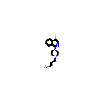 CC(=O)C=CC(=O)N1CCN(c2ncc(F)c3ccccc23)CC1